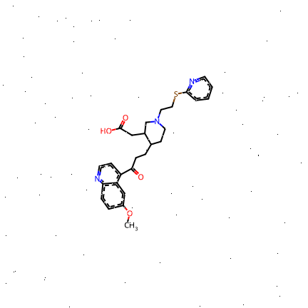 COc1ccc2nccc(C(=O)CCC3CCN(CCSc4ccccn4)CC3CC(=O)O)c2c1